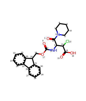 O=C(NC(C(=O)N1CCCCC1)C(Cl)C(=O)O)OCC1c2ccccc2-c2ccccc21